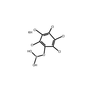 OB(O)Oc1c(Cl)c(Cl)c(Cl)c(Cl)c1Cl.[KH]